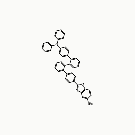 CCC(C)c1ccc2oc(-c3ccc(-c4ccccc4-c4ccccc4-c4ccc(N(c5ccccc5)c5ccccc5)cc4)cc3)nc2c1